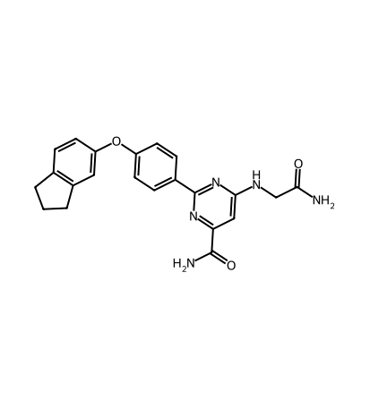 NC(=O)CNc1cc(C(N)=O)nc(-c2ccc(Oc3ccc4c(c3)CCC4)cc2)n1